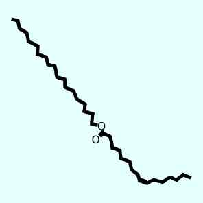 CCCCCC/C=C\CCCCCCCC(=O)OCCCCCCCCCCCCCCCCCCC